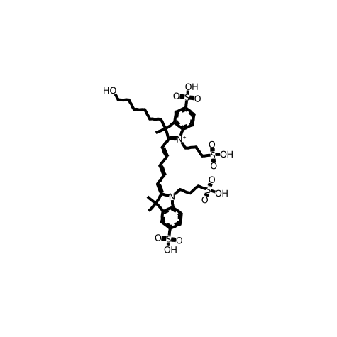 CC1(CCCCCCO)C(/C=C/C=C/C=C2\N(CCCS(=O)(=O)O)c3ccc(S(=O)(=O)O)cc3C2(C)C)=[N+](CCCS(=O)(=O)O)c2ccc(S(=O)(=O)O)cc21